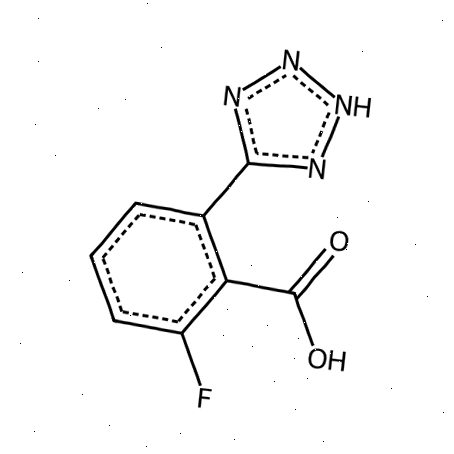 O=C(O)c1c(F)cccc1-c1nn[nH]n1